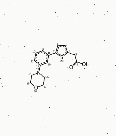 O=C(O)Cc1ccc(-c2cccc(N3CCOCC3)c2)s1